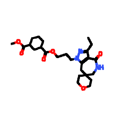 CCc1nn(CCCOC(=O)C2CCCC(C(=O)OC)C2)c2c1C(=O)NCC1(CCOCC1)C2